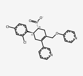 O=[N+]([O-])[C@@H]1CC(COc2ccncc2)=C(c2cccnc2)C[C@H]1c1ccc(Cl)cc1Cl